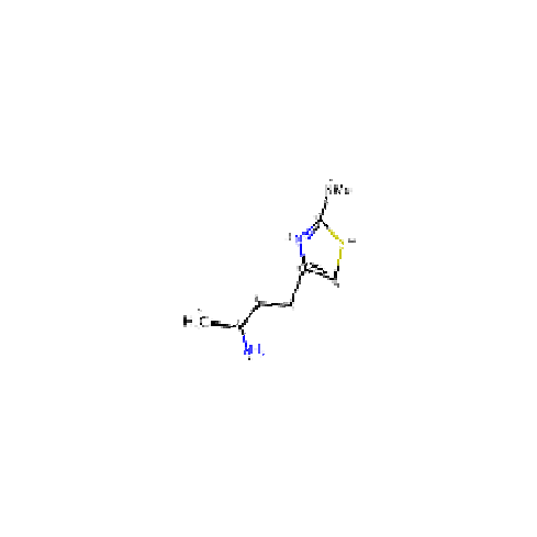 CNc1nc(CC[C@H](C)N)cs1